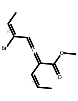 C/C=C\C(=C=C/C(Br)=C\C)C(=O)OC